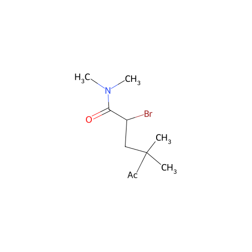 CC(=O)C(C)(C)CC(Br)C(=O)N(C)C